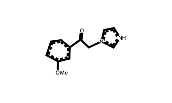 COc1cccc(C(=O)C[n+]2cc[nH]c2)c1